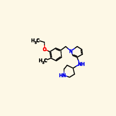 CCOc1cc(CN2C=C(NC3CCNCC3)C=CC2)ccc1C